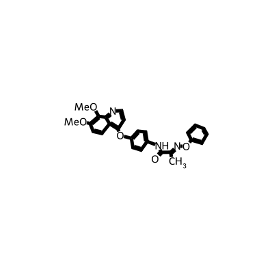 COc1ccc2c(Oc3ccc(NC(=O)C(C)=NOc4ccccc4)cc3)ccnc2c1OC